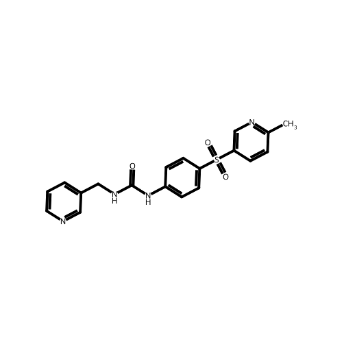 Cc1ccc(S(=O)(=O)c2ccc(NC(=O)NCc3cccnc3)cc2)cn1